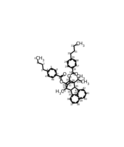 CCCCc1ccc(C(=O)OC2C(OC(=O)c3ccc(CCCC)cc3)C3(C(C)C)CCC2(C)C2c4cccc5cccc(c45)C23)cc1